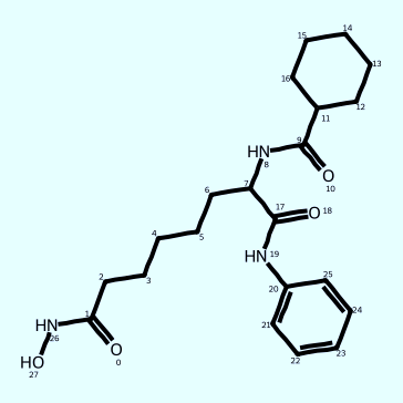 O=C(CCCCCC(NC(=O)C1CCCCC1)C(=O)Nc1ccccc1)NO